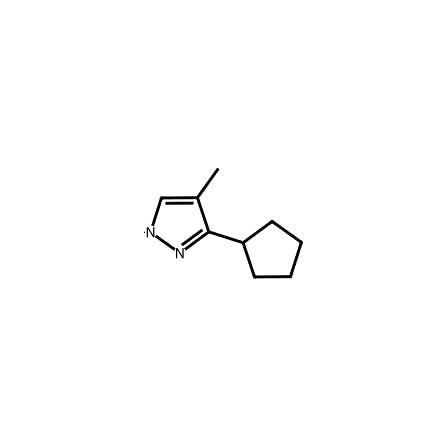 CC1=C[N]N=C1C1CCCC1